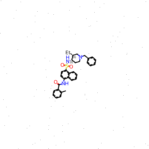 CC[C@H]1CN(Cc2ccccc2)CC[C@@H]1NS(=O)(=O)c1ccc(NC(=O)c2ccccc2C)c2ccccc12